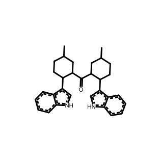 CC1CCC(c2c[nH]c3ccccc23)C(C(=O)C2CC(C)CCC2c2c[nH]c3ccccc23)C1